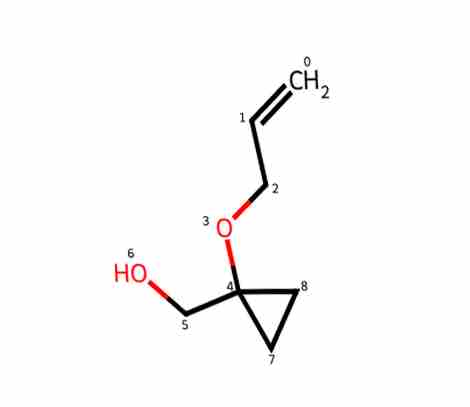 C=CCOC1(CO)CC1